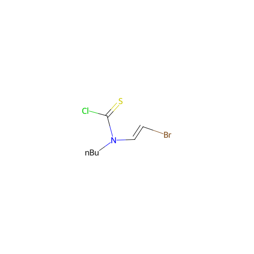 CCCCN(C=CBr)C(=S)Cl